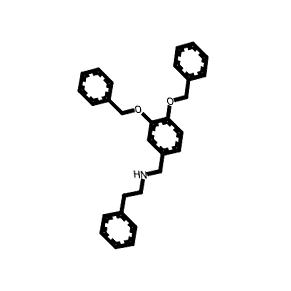 c1ccc(CCNCc2ccc(OCc3ccccc3)c(OCc3ccccc3)c2)cc1